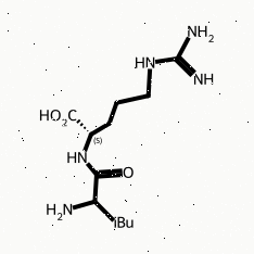 CCC(C)C(N)C(=O)N[C@@H](CCCNC(=N)N)C(=O)O